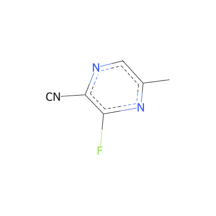 [C-]#[N+]c1ncc(C)nc1F